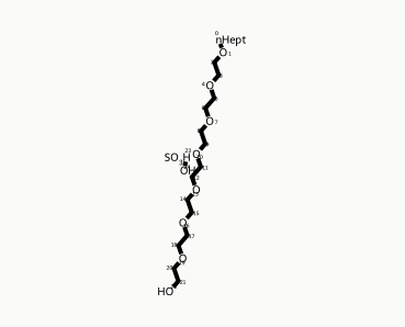 CCCCCCCOCCOCCOCCOCCOCCOCCOCCO.O=S(=O)(O)O